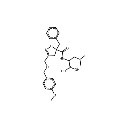 COc1ccc(COCC2=NOC(Cc3ccccc3)(C(=O)NC(CC(C)C)B(O)O)C2)cc1